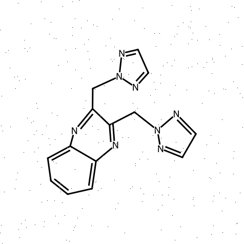 c1ccc2nc(Cn3nccn3)c(Cn3nccn3)nc2c1